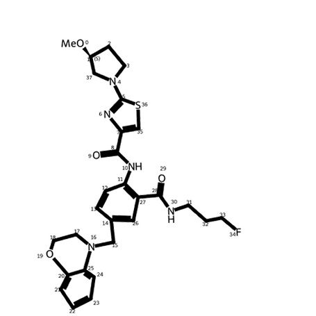 CO[C@H]1CCN(c2nc(C(=O)Nc3ccc(CN4CCOc5ccccc54)cc3C(=O)NCCCF)cs2)C1